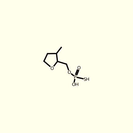 CC1CCOC1COP(=O)(O)S